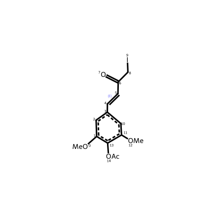 COc1cc(/C=C/C(=O)CI)cc(OC)c1OC(C)=O